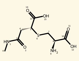 CNC(=O)C[C@@H](SC[C@H](N)C(=O)O)C(=O)O